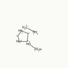 C1CNCN1.CN.O=S(=O)(O)O